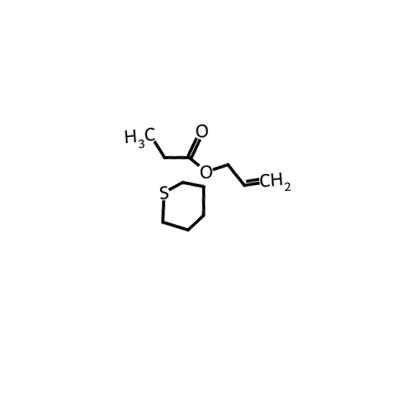 C1CCSCC1.C=CCOC(=O)CC